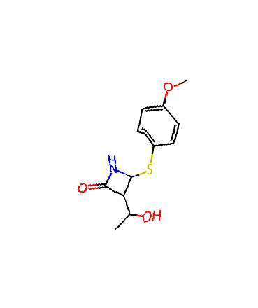 COc1ccc(SC2NC(=O)C2C(C)O)cc1